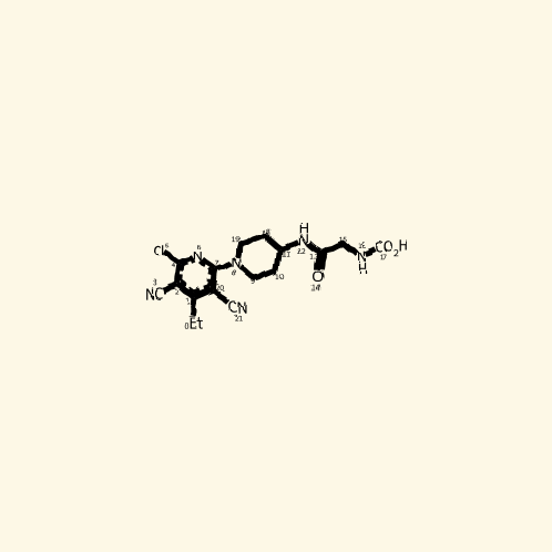 CCc1c(C#N)c(Cl)nc(N2CCC(NC(=O)CNC(=O)O)CC2)c1C#N